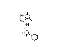 Cc1csc2ncnc(NCc3cc(-c4ccccc4)no3)c12